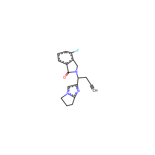 C#CCC(c1cn2c(n1)CCC2)N1Cc2c(F)cccc2C1=O